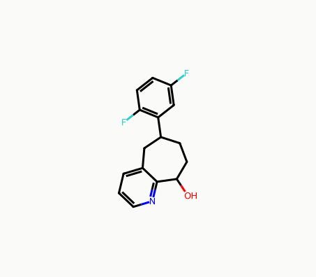 OC1CCC(c2cc(F)ccc2F)Cc2cccnc21